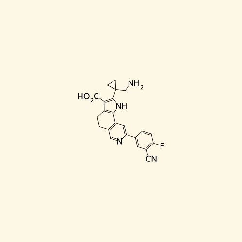 N#Cc1cc(-c2cc3c(cn2)CCc2c-3[nH]c(C3(CN)CC3)c2C(=O)O)ccc1F